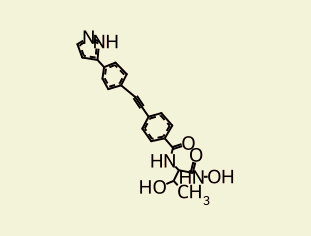 CC(O)C(NC(=O)c1ccc(C#Cc2ccc(-c3ccn[nH]3)cc2)cc1)C(=O)NO